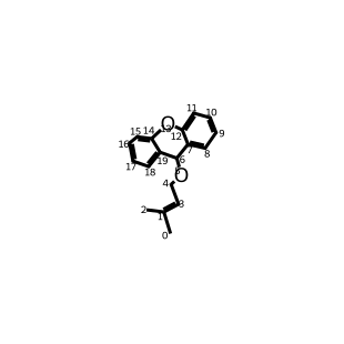 CC(C)=CCOC1c2ccccc2Oc2ccccc21